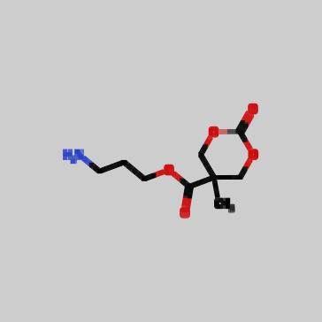 CC1(C(=O)OCCCN)COC(=O)OC1